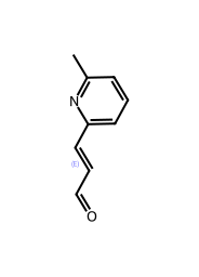 Cc1cccc(/C=C/C=O)n1